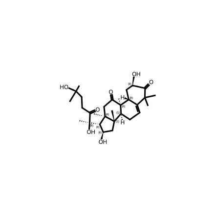 CC(C)(O)CCC(=O)[C@](C)(O)[C@H]1[C@H](O)C[C@@]2(C)[C@@H]3CC=C4[C@@H](C[C@@H](O)C(=O)C4(C)C)[C@]3(C)C(=O)C[C@]12C